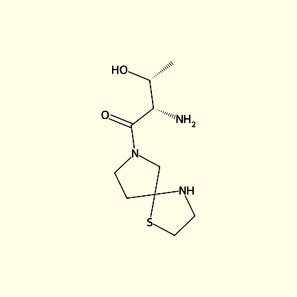 C[C@@H](O)[C@H](N)C(=O)N1CCC2(C1)NCCS2